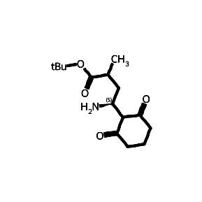 CC(C[C@H](N)C1C(=O)CCCC1=O)C(=O)OC(C)(C)C